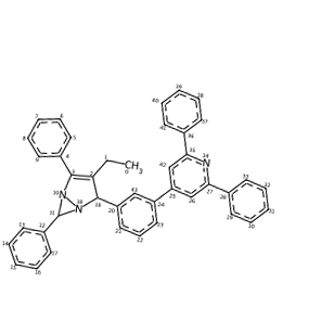 CCC1=C(c2ccccc2)N2C(c3ccccc3)N2C1c1cccc(-c2cc(-c3ccccc3)nc(-c3ccccc3)c2)c1